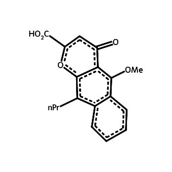 CCCc1c2ccccc2c(OC)c2c(=O)cc(C(=O)O)oc12